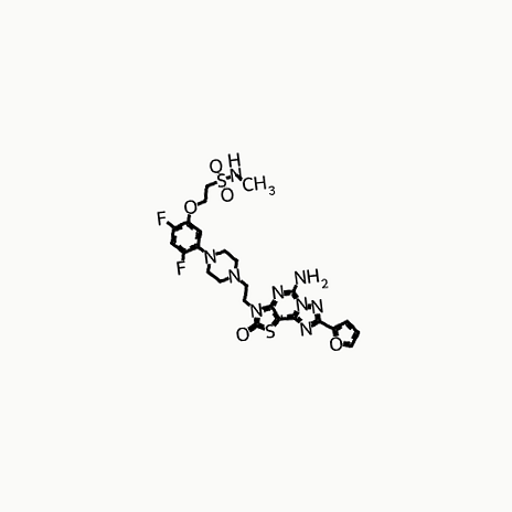 CNS(=O)(=O)CCOc1cc(N2CCN(CCn3c(=O)sc4c3nc(N)n3nc(-c5ccco5)nc43)CC2)c(F)cc1F